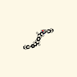 C=C(/C=C\C(C=C1C(=O)OC2(CCC3(CC2)OC(=O)C(=Cc2ccc(N4CCC5(CC4)OCCO5)cc2)C(=O)O3)OC1=O)=C/C)N1CCC2(CC1)OCCO2